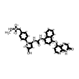 CNS(=O)(=O)Cc1ccc(-n2nc(O)cc2NC(=O)Nc2ccc(Oc3ccnc4[nH]c(=O)cnc34)c3ccccc23)cc1